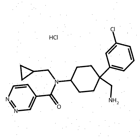 Cl.NCC1(c2cccc(Cl)c2)CCC(N(CC2CC2)C(=O)c2ccnnc2)CC1